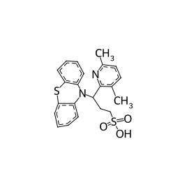 Cc1ccc(C)c(C(CCS(=O)(=O)O)N2c3ccccc3Sc3ccccc32)n1